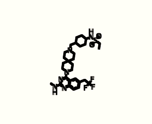 CCS(=O)(=O)NC1CCC(CN2CCC3(CC2)CCN(c2nc(NC)nc4ccc(CC(F)(F)F)cc24)CC3)CC1